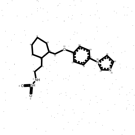 O=[SH](=O)NCCC1CCCCC1COc1ccc(-n2ccnc2)cc1